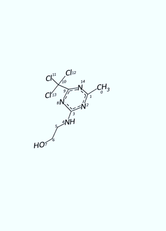 Cc1nc(NCCO)nc(C(Cl)(Cl)Cl)n1